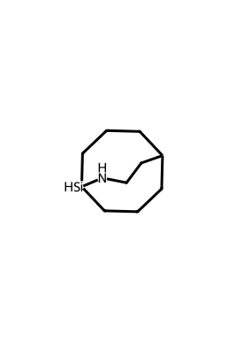 C1CC2CCC[SiH](C1)NCC2